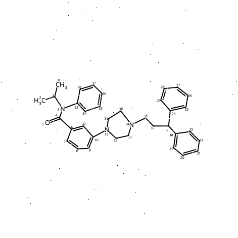 CC(C)N(C(=O)c1cccc(N2CCN(CCC(c3ccccc3)c3ccccc3)CC2)c1)c1ccccc1